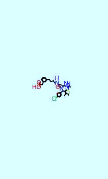 Cc1sc2c(c1C)C(c1ccc(Cl)cc1)=N[C@@H](CC(=O)NCCCCc1cccc(CC(=O)O)c1)c1nnc(C)n1-2